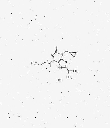 CCCNc1nc(=S)n(CC2CC2)c2nc(C(C)C)[nH]c12.Cl